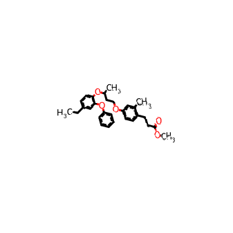 CCc1ccc(OC(C)CCOc2ccc(CCC(=O)OC)c(C)c2)c(Oc2ccccc2)c1